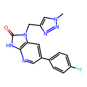 Cn1cc(Cn2c(=O)[nH]c3ncc(-c4ccc(F)cc4)cc32)nn1